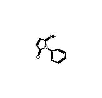 N=C1C=CC(=O)N1c1ccccc1